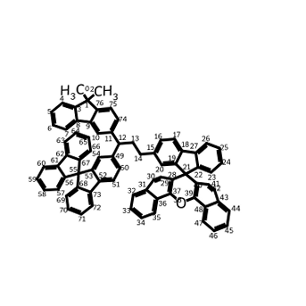 CC1(C)c2ccccc2-c2cc(C(CCc3ccc4c(c3)C3(c5ccccc5-4)c4ccc5ccccc5c4Oc4c3ccc3ccccc43)c3ccc4c(c3)C3(c5ccccc5-c5ccccc53)c3ccccc3-4)ccc21